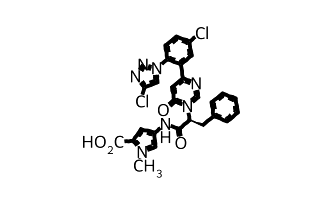 Cn1cc(NC(=O)[C@H](Cc2ccccc2)n2cnc(-c3cc(Cl)ccc3-n3cc(Cl)nn3)cc2=O)cc1C(=O)O